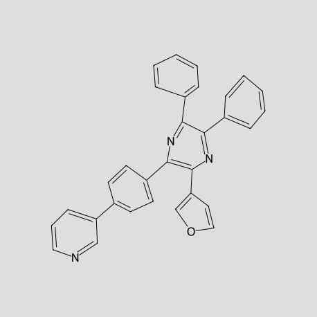 c1ccc(-c2nc(-c3ccc(-c4cccnc4)cc3)c(-c3ccoc3)nc2-c2ccccc2)cc1